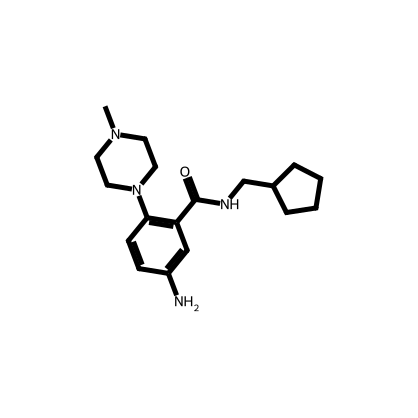 CN1CCN(c2ccc(N)cc2C(=O)NCC2CCCC2)CC1